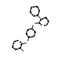 Fc1cccnc1Nc1ccc(Oc2ncccc2-c2ccccc2)cc1